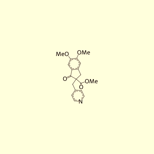 COC(=O)C1(Cc2ccncc2)Cc2cc(OC)c(OC)cc2C1=O